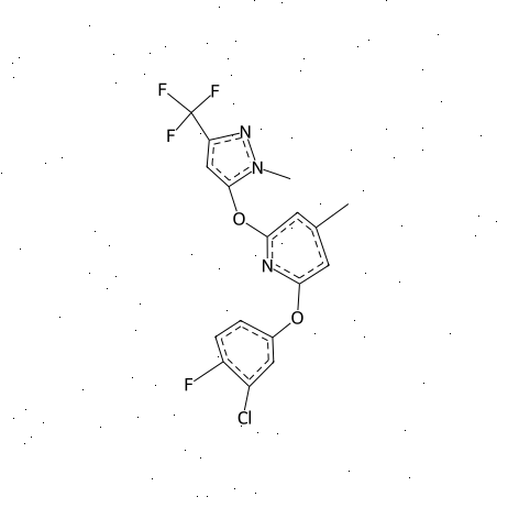 Cc1cc(Oc2ccc(F)c(Cl)c2)nc(Oc2cc(C(F)(F)F)nn2C)c1